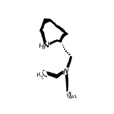 CN(C[C@H]1CCCN1)C(C)(C)C